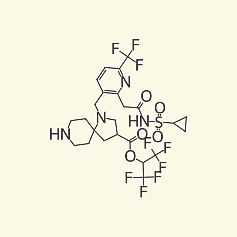 O=C(Cc1nc(C(F)(F)F)ccc1CN1CC(C(=O)OC(C(F)(F)F)C(F)(F)F)CC12CCNCC2)NS(=O)(=O)C1CC1